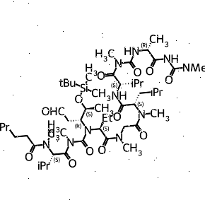 CC[C@@H](C(=O)N(C)CC(=O)N(C)[C@@H](CC(C)C)C(=O)N[C@H](C(=O)N(C)C(=O)N[C@H](C)C(=O)NC(=O)NC)C(C)C)N(C(=O)N(C)C(=O)[C@H](C(C)C)N(C)C(=O)CCC(C)C)[C@H](CC=O)[C@H](C)O[Si](C)(C)C(C)(C)C